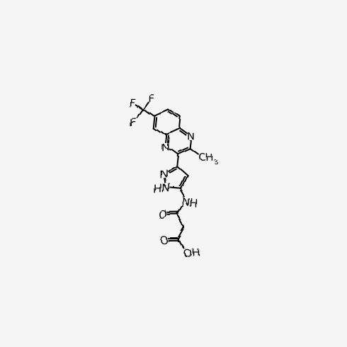 Cc1nc2ccc(C(F)(F)F)cc2nc1-c1cc(NC(=O)CC(=O)O)[nH]n1